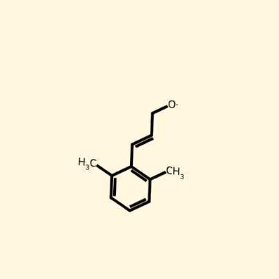 Cc1cccc(C)c1C=CC[O]